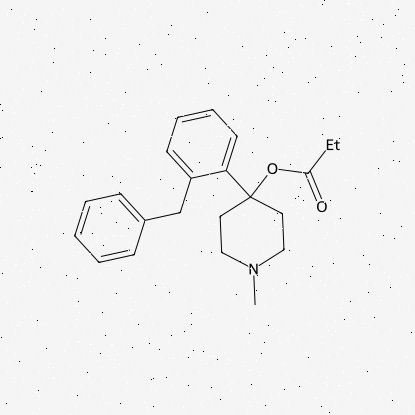 CCC(=O)OC1(c2ccccc2Cc2ccccc2)CCN(C)CC1